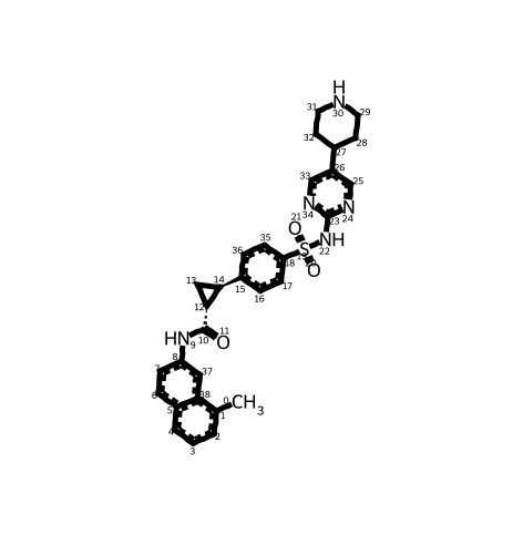 Cc1cccc2ccc(NC(=O)[C@@H]3C[C@H]3c3ccc(S(=O)(=O)Nc4ncc(C5CCNCC5)cn4)cc3)cc12